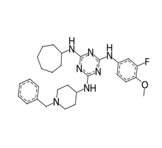 COc1ccc(Nc2nc(NC3CCCCCC3)nc(NC3CCN(Cc4ccccc4)CC3)n2)cc1F